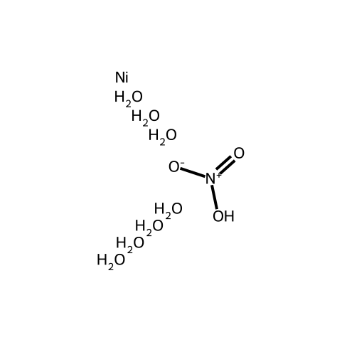 O.O.O.O.O.O.O.O=[N+]([O-])O.[Ni]